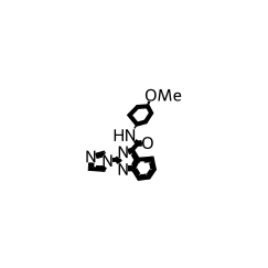 CO[C@H]1CC[C@H](NC(=O)c2nc(-n3ccnc3)nc3ccccc23)CC1